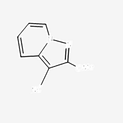 COc1nn2ccccc2c1C#N